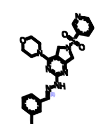 Cc1cccc(/C=N/Nc2nc3c(c(N4CCOCC4)n2)CN(S(=O)(=O)c2cccnc2)C3)c1